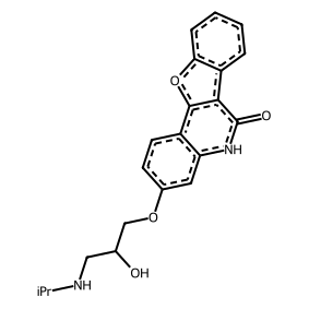 CC(C)NCC(O)COc1ccc2c(c1)[nH]c(=O)c1c3ccccc3oc21